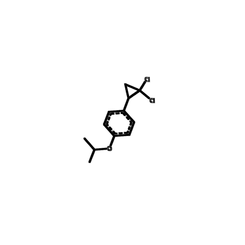 CC(C)Oc1ccc([C]2CC2(Cl)Cl)cc1